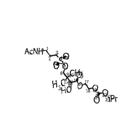 CC(=O)NCCCS(=O)(=O)OCC(C)(C)[C@@H](O)C(=O)OCCOC(=O)OC(C)C